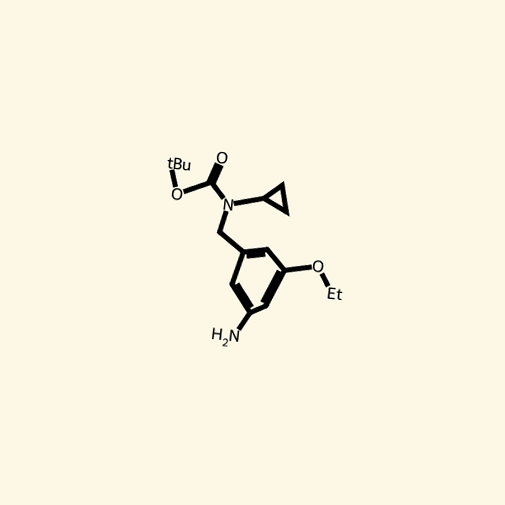 CCOc1cc(N)cc(CN(C(=O)OC(C)(C)C)C2CC2)c1